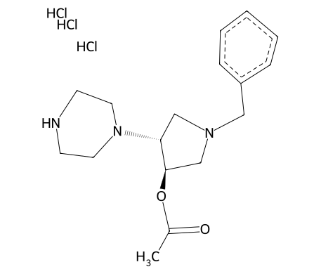 CC(=O)O[C@@H]1CN(Cc2ccccc2)C[C@H]1N1CCNCC1.Cl.Cl.Cl